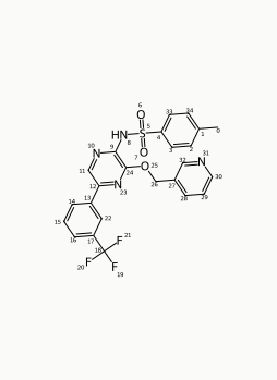 Cc1ccc(S(=O)(=O)Nc2ncc(-c3cccc(C(F)(F)F)c3)nc2OCc2cccnc2)cc1